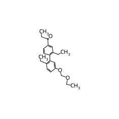 CCOCOc1ccc(CC)c(-c2ccc(C(=O)CC)cc2CC)c1